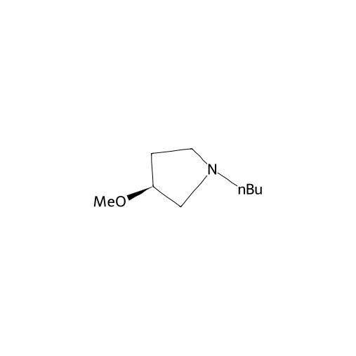 CCCCN1CC[C@H](OC)C1